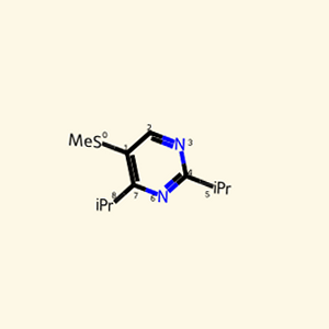 CSc1cnc(C(C)C)nc1C(C)C